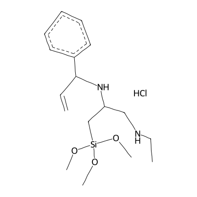 C=CC(NC(CNCC)C[Si](OC)(OC)OC)c1ccccc1.Cl